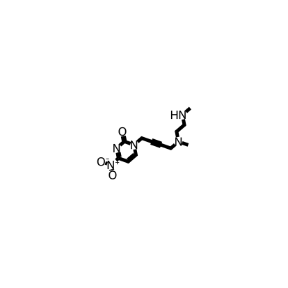 CNCCN(C)CC#CCn1ccc([N+](=O)[O-])nc1=O